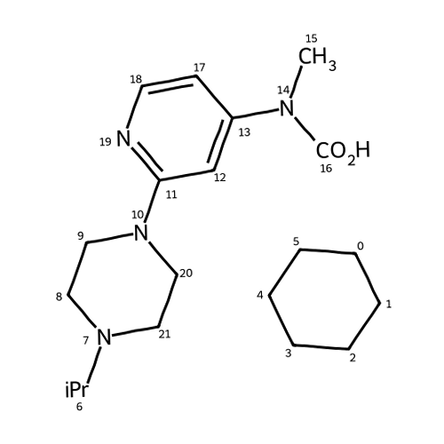 C1CCCCC1.CC(C)N1CCN(c2cc(N(C)C(=O)O)ccn2)CC1